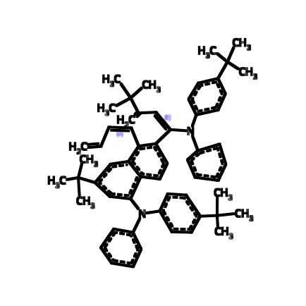 C=C/C=C\c1c(/C(=C\C(=C)C(C)(C)C)N(c2ccccc2)c2ccc(C(C)(C)C)cc2)ccc2c(N(c3ccccc3)c3ccc(C(C)(C)C)cc3)cc(C(C)(C)C)cc12